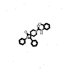 O=C(Nc1ccccc1Cl)N1CCC2(CC1)C(=O)N(c1ccccc1)C2c1ccccc1